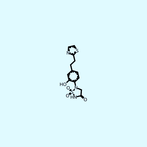 O=C1CN(c2ccc(CCc3nccs3)cc2O)S(=O)(=O)N1